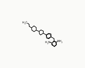 CCCC1CCC(C2CCC(c3ccc(Cc4c(N)cccc4N)cc3)CC2)CC1